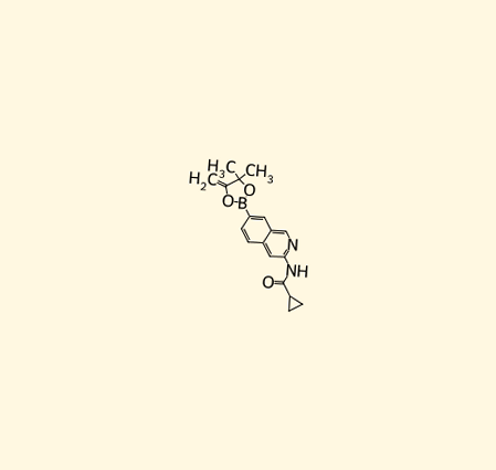 C=C1OB(c2ccc3cc(NC(=O)C4CC4)ncc3c2)OC1(C)C